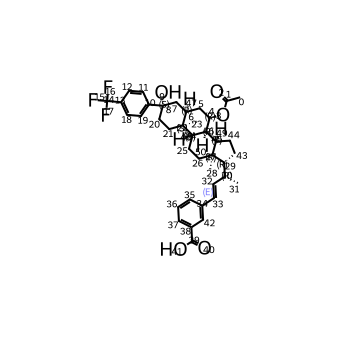 CC(=O)O[C@@H]1C[C@@H]2C[C@](O)(c3ccc(C(F)(F)F)cc3)CC[C@]2(C)[C@H]2CC[C@]3(C)[C@@H]([C@H](C)/C=C/c4cccc(C(=O)O)c4)CC[C@H]3[C@H]12